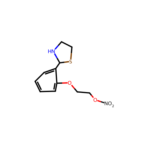 O=[N+]([O-])OCCOc1ccccc1C1NCCS1